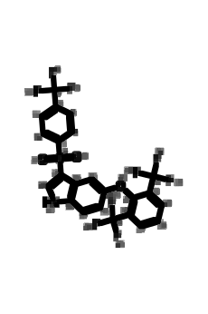 O=S(=O)(c1ccc(C(F)(F)F)cc1)c1c[nH]c2ccc(Oc3c(C(F)(F)F)c[c]cc3C(F)(F)F)cc12